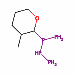 CC1CCCOC1P(P)PP